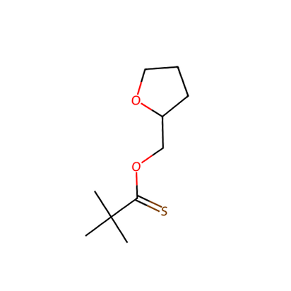 CC(C)(C)C(=S)OCC1CCCO1